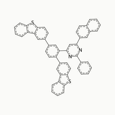 c1ccc(-c2nc(-c3ccc4ccccc4c3)cc(-c3cc(-c4ccc5sc6ccccc6c5c4)ccc3-c3ccc4sc5ccccc5c4c3)n2)cc1